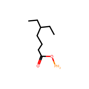 CCC(CC)CCCC(=O)OP